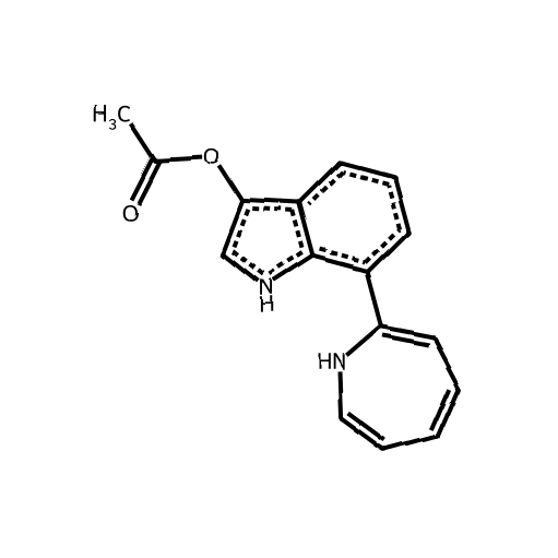 CC(=O)Oc1c[nH]c2c(C3=CC=CC=CN3)cccc12